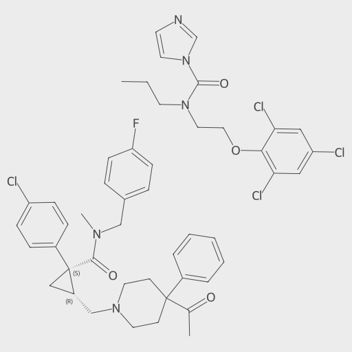 CC(=O)C1(c2ccccc2)CCN(C[C@@H]2C[C@@]2(C(=O)N(C)Cc2ccc(F)cc2)c2ccc(Cl)cc2)CC1.CCCN(CCOc1c(Cl)cc(Cl)cc1Cl)C(=O)n1ccnc1